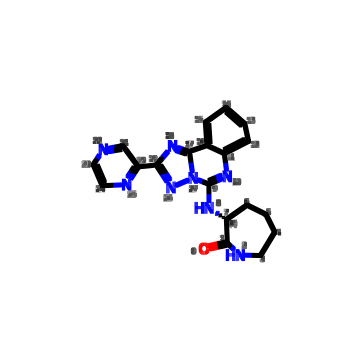 O=C1NCCCC[C@H]1Nc1nc2ccccc2c2nc(-c3cnccn3)nn12